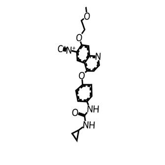 [C-]#[N+]c1cc2c(Oc3ccc(NC(=O)NC4CC4)cc3)ccnc2cc1OCCOC